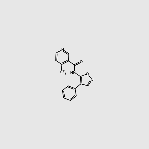 O=C(Nc1oncc1-c1ccccc1)c1cnccc1C(F)(F)F